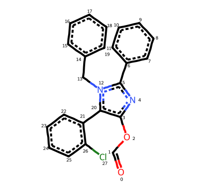 O=COc1nc(-c2ccccc2)n(Cc2ccccc2)c1-c1ccccc1Cl